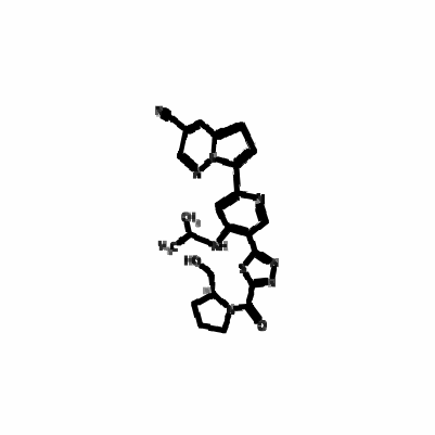 CC(C)Nc1cc(-c2ccc3cc(C#N)cnn23)ncc1-c1nnc(C(=O)N2CCC[C@H]2CO)s1